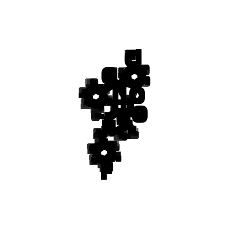 C[C@@H]1CN(C(=O)COc2ccc(Cl)cc2NC(=O)c2ccccc2)[C@@H](C)CN1Cc1ccc(F)cc1